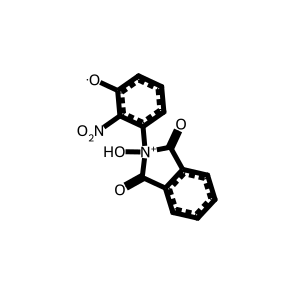 [O]c1cccc([N+]2(O)C(=O)c3ccccc3C2=O)c1[N+](=O)[O-]